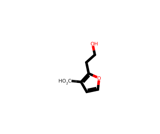 O=C(O)c1ccoc1CCO